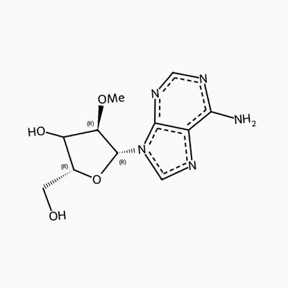 CO[C@@H]1C(O)[C@@H](CO)O[C@H]1n1cnc2c(N)ncnc21